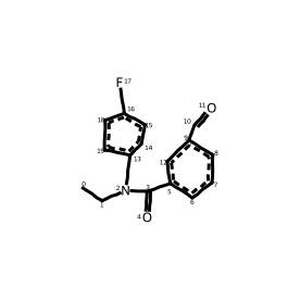 CCN(C(=O)c1cccc(C=O)c1)c1ccc(F)cc1